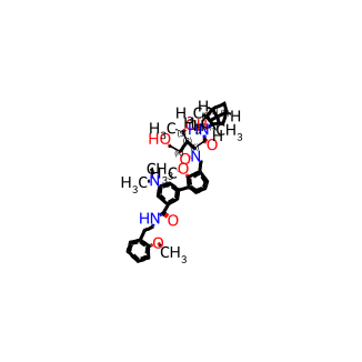 COc1ccccc1CCNC(=O)c1cc(-c2cccc(CN3O[C@@H](CO)[C@@H]([C@H](C)O)[C@H]3C(=O)N[C@H]3C[C@H]4C[C@@H]([C@@H]3C)C4(C)C)c2OC)cc(N(C)C)c1